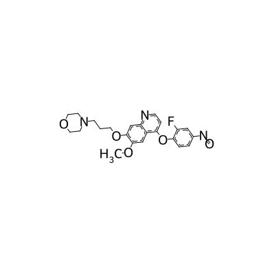 COc1cc2c(Oc3ccc(N=O)cc3F)ccnc2cc1OCCCN1CCOCC1